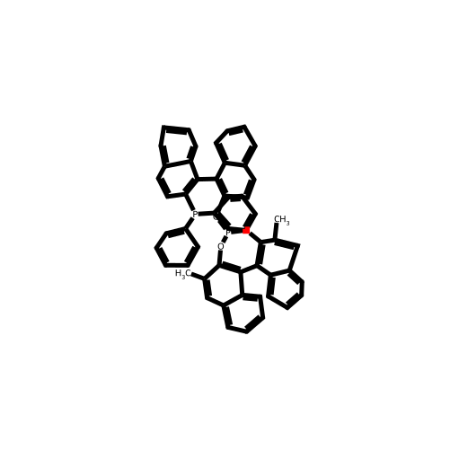 Cc1cc2ccccc2c2c1op(Oc1ccc3ccccc3c1-c1c(P(c3ccccc3)c3ccccc3)ccc3ccccc13)oc1c(C)cc3ccccc3c12